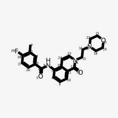 Cc1cc(C(=O)Nc2cccc3c(=O)n(CCN4CCOCC4)ccc23)ccc1F